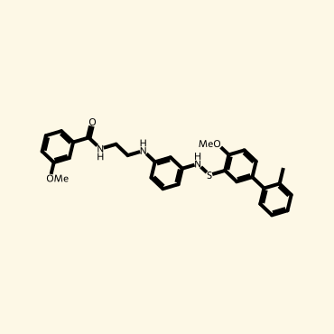 COc1cccc(C(=O)NCCNc2cccc(NSc3cc(-c4ccccc4C)ccc3OC)c2)c1